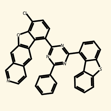 Clc1ccc(-c2nc(-c3ccccc3)nc(-c3cccc4sc5ccccc5c34)n2)c2c1oc1cc3cnccc3cc12